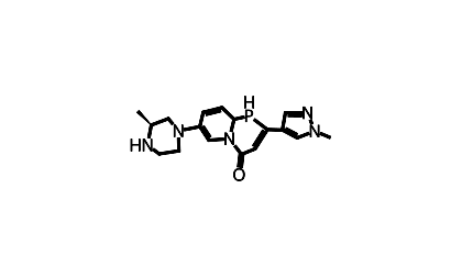 C[C@H]1CN(C2=CN3C(=O)C=C(c4cnn(C)c4)PC3C=C2)CCN1